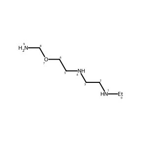 CCNCCNCCOCN